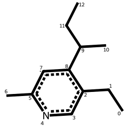 CCc1cnc(C)[c]c1C(C)CC